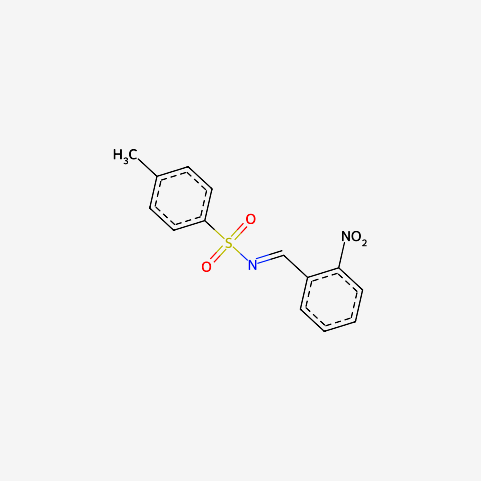 Cc1ccc(S(=O)(=O)N=Cc2ccccc2[N+](=O)[O-])cc1